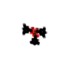 Cc1cc(C)cc(C(=O)OP(=O)(OC(=O)c2cc(C)cc(C)c2)OC(=O)c2cc(C)cc(C)c2)c1